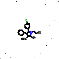 CC/C=C/n1c(-c2ccc(F)cc2)c(-c2ccccc2)c(C=O)c1C(C)C